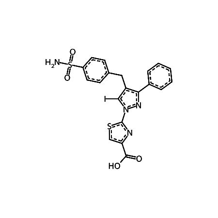 NS(=O)(=O)c1ccc(Cc2c(-c3ccccc3)nn(-c3nc(C(=O)O)cs3)c2I)cc1